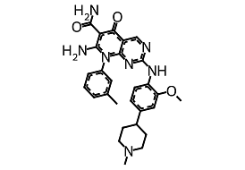 COc1cc(C2CCN(C)CC2)ccc1Nc1ncc2c(=O)c(C(N)=O)c(N)n(-c3cccc(C)c3)c2n1